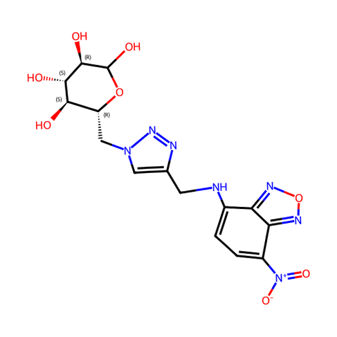 O=[N+]([O-])c1ccc(NCc2cn(C[C@H]3OC(O)[C@H](O)[C@@H](O)[C@@H]3O)nn2)c2nonc12